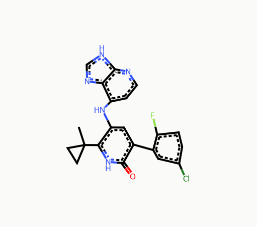 CC1(c2[nH]c(=O)c(-c3cc(Cl)ccc3F)cc2Nc2ccnc3[nH]cnc23)CC1